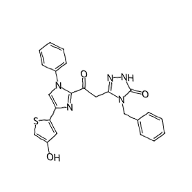 O=C(Cc1n[nH]c(=O)n1Cc1ccccc1)c1nc(-c2cc(O)cs2)cn1-c1ccccc1